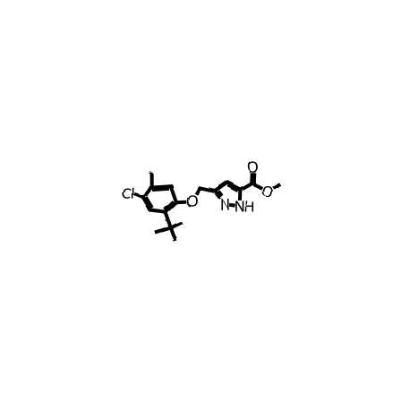 COC(=O)c1cc(COc2cc(C)c(Cl)cc2C(C)(C)C)n[nH]1